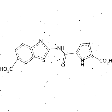 O=C(O)c1ccc2nc(NC(=O)c3ccc(C(=O)O)[nH]3)sc2c1